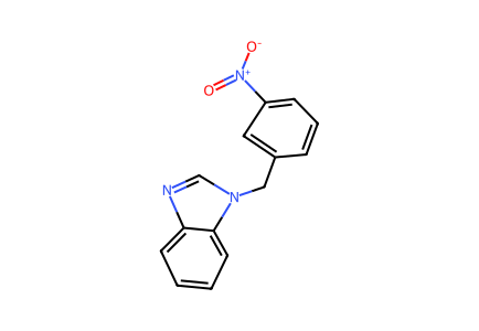 O=[N+]([O-])c1cccc(Cn2cnc3ccccc32)c1